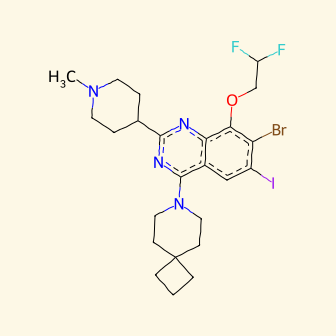 CN1CCC(c2nc(N3CCC4(CCC4)CC3)c3cc(I)c(Br)c(OCC(F)F)c3n2)CC1